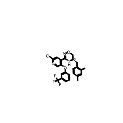 Cc1ccc(C[C@@H]2CON=C(c3cc(Cl)ncc3Oc3cccc(C(F)(F)F)c3)N2)c(C)c1